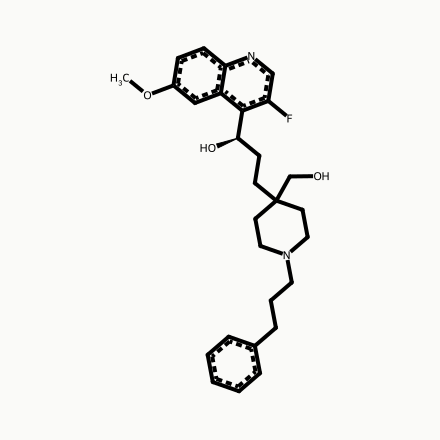 COc1ccc2ncc(F)c([C@H](O)CCC3(CO)CCN(CCCc4ccccc4)CC3)c2c1